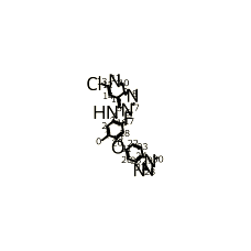 Cc1cc(Nc2ncnc3cnc(Cl)cc23)c(F)cc1Oc1ccc2c(c1)nnn2C